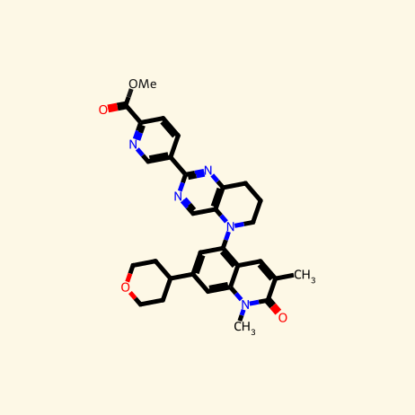 COC(=O)c1ccc(-c2ncc3c(n2)CCCN3c2cc(C3CCOCC3)cc3c2cc(C)c(=O)n3C)cn1